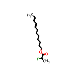 C=C(F)C(=O)OCCCCCCCC=CC=CC